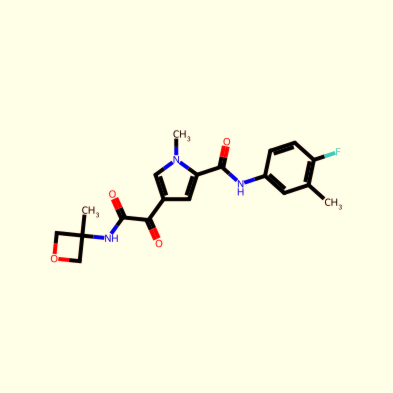 Cc1cc(NC(=O)c2cc(C(=O)C(=O)NC3(C)COC3)cn2C)ccc1F